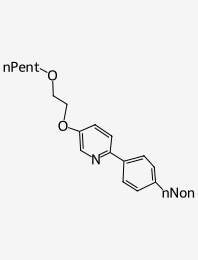 CCCCCCCCCc1ccc(-c2ccc(OCCOCCCCC)cn2)cc1